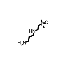 CP(C)(=O)CCNCCCN